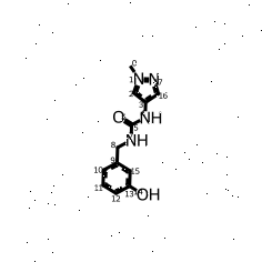 Cn1cc(NC(=O)NCc2cccc(O)c2)cn1